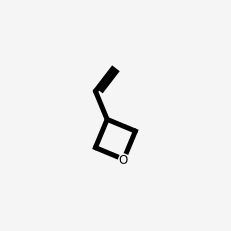 C=CC1COC1